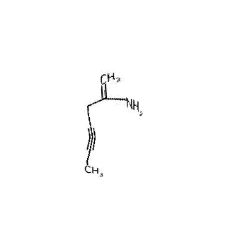 C=C(N)CC#CC